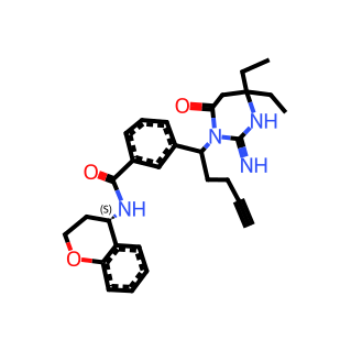 C#CCCC(c1cccc(C(=O)N[C@H]2CCOc3ccccc32)c1)N1C(=N)NC(CC)(CC)CC1=O